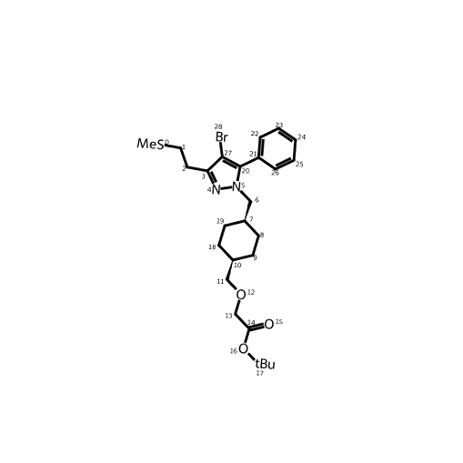 CSCCc1nn(C[C@H]2CC[C@@H](COCC(=O)OC(C)(C)C)CC2)c(-c2ccccc2)c1Br